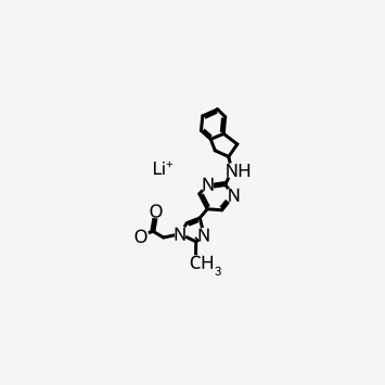 Cc1nc(-c2cnc(NC3Cc4ccccc4C3)nc2)cn1CC(=O)[O-].[Li+]